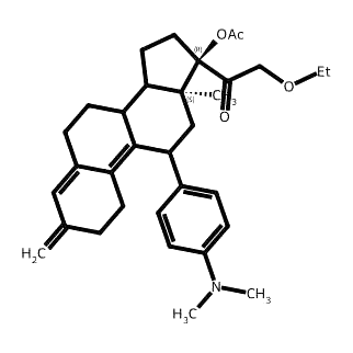 C=C1C=C2CCC3C(=C2CC1)C(c1ccc(N(C)C)cc1)C[C@@]1(C)C3CC[C@]1(OC(C)=O)C(=O)COCC